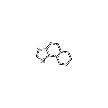 c1ccc2c(c1)ccc1nc[se]c12